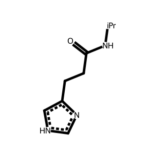 CC(C)NC(=O)CCc1c[nH]cn1